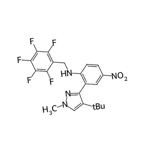 Cn1cc(C(C)(C)C)c(-c2cc([N+](=O)[O-])ccc2NCc2c(F)c(F)c(F)c(F)c2F)n1